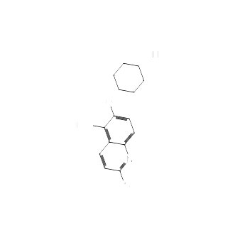 CC(=O)c1ccc2c(C(F)(F)F)c(O[C@H]3CC[C@@H](C)CC3)ccc2n1